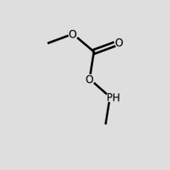 COC(=O)OPC